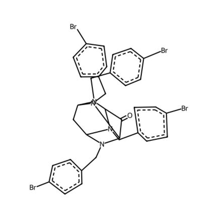 O=C1C2N(Cc3ccc(Br)cc3)C3CC(N2Cc2ccc(Br)cc2)N(Cc2ccc(Br)cc2)C1N3Cc1ccc(Br)cc1